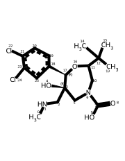 CNC[C@@]1(O)CN(C(=O)O)CC(C(C)(C)C)O[C@@H]1c1ccc(Cl)c(Cl)c1